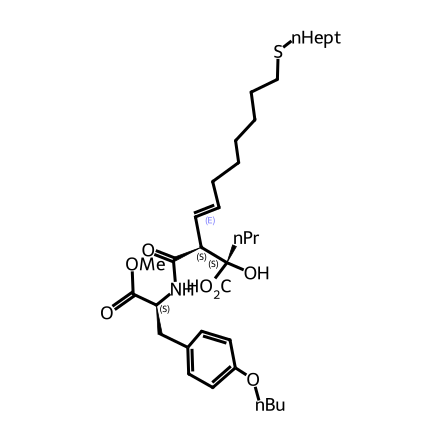 CCCCCCCSCCCCCC/C=C/[C@H](C(=O)N[C@@H](Cc1ccc(OCCCC)cc1)C(=O)OC)[C@@](O)(CCC)C(=O)O